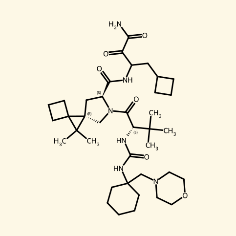 CC(C)(C)[C@H](NC(=O)NC1(CN2CCOCC2)CCCCC1)C(=O)N1C[C@]2(C[C@H]1C(=O)NC(CC1CCC1)C(=O)C(N)=O)C(C)(C)C21CCC1